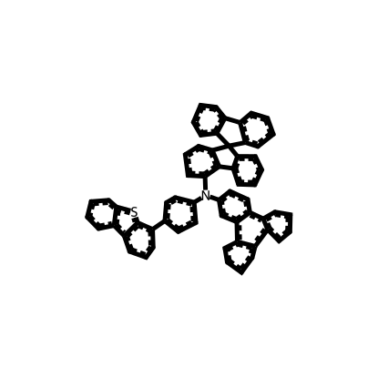 c1ccc2c(c1)-c1ccccc1C21c2ccccc2-c2c(N(c3ccc(-c4cccc5c4sc4ccccc45)cc3)c3ccc4c5ccccc5c5ccccc5c4c3)cccc21